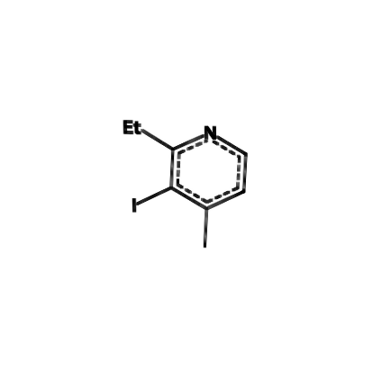 CCc1nccc(C)c1I